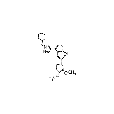 COc1ccc(-c2cnc3[nH]cc(-c4cnn(CC5CCCCC5)c4)c3c2)cc1OC